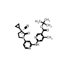 Cc1cc(Nc2cc(N3CC[C@@](C#N)(C4CC4)C3=O)ccn2)ncc1C(=O)OC(C)(C)C